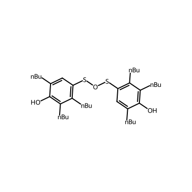 CCCCc1cc(SOSc2cc(CCCC)c(O)c(CCCC)c2CCCC)c(CCCC)c(CCCC)c1O